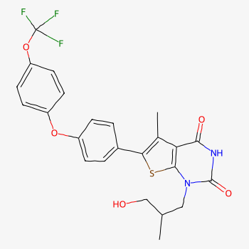 Cc1c(-c2ccc(Oc3ccc(OC(F)(F)F)cc3)cc2)sc2c1c(=O)[nH]c(=O)n2CC(C)CO